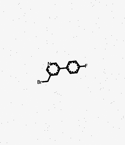 Fc1ccc(-c2cncc(CBr)c2)cc1